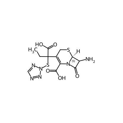 CCC(Sn1ncnn1)(C(=O)O)C1=C(C(=O)O)N2C(=O)C(N)[C@@H]2SC1